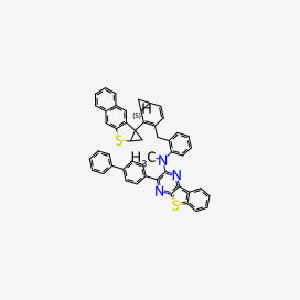 CN(c1ccccc1CC1=C(C23CC2Sc2cc4ccccc4cc23)[C@H]2CC2C=C1)c1nc2c(nc1-c1ccc(-c3ccccc3)cc1)sc1ccccc12